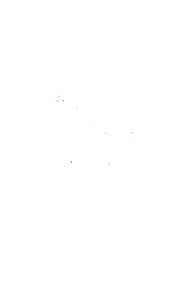 NCc1cc(Br)ccc1CO